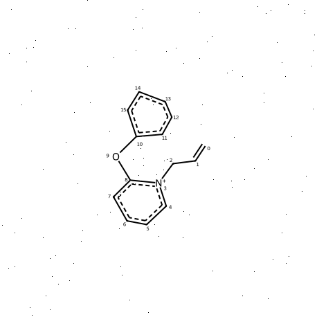 C=CC[n+]1ccccc1Oc1ccccc1